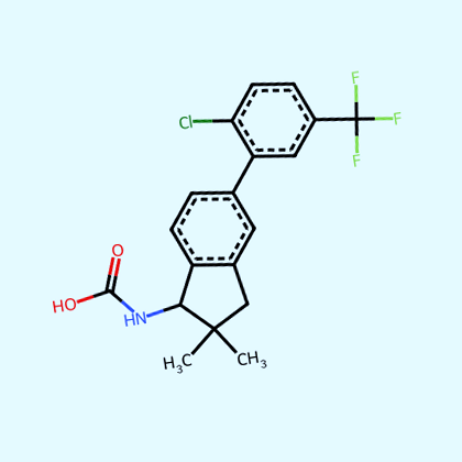 CC1(C)Cc2cc(-c3cc(C(F)(F)F)ccc3Cl)ccc2C1NC(=O)O